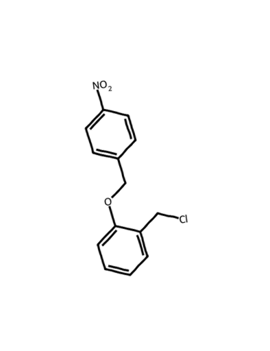 O=[N+]([O-])c1ccc(COc2ccccc2CCl)cc1